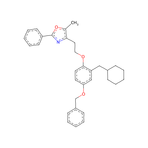 Cc1oc(-c2ccccc2)nc1CCOc1ccc(OCc2ccccc2)cc1CC1CCCCC1